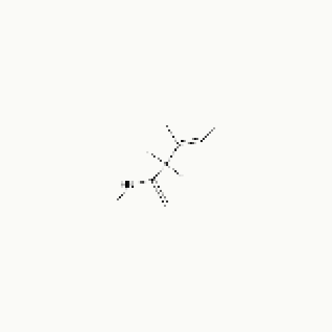 C=C(NC)C(C)(C)/C(C)=C/C